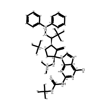 C=C1[C@H](C(O[SiH](c2ccccc2)c2ccccc2)C(C)(C)C)[C@@H](C(C)(C)C)C[C@@]1(O[SiH](C)C)n1cnc2c(Cl)nc(NC(=O)OC(C)(C)C)nc21